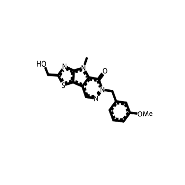 COc1cccc(Cn2ncc3c4sc(CO)nc4n(C)c3c2=O)c1